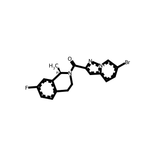 C[C@@H]1c2cc(F)ccc2CCN1C(=O)c1cc2ccc(Br)cn2n1